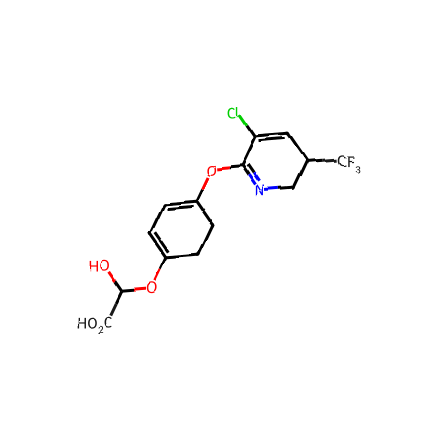 O=C(O)C(O)OC1=CC=C(OC2=NCC(C(F)(F)F)C=C2Cl)CC1